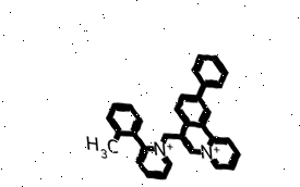 Cc1ccccc1-c1cccc[n+]1Cc1c[n+]2ccccc2c2cc(-c3ccccc3)ccc12